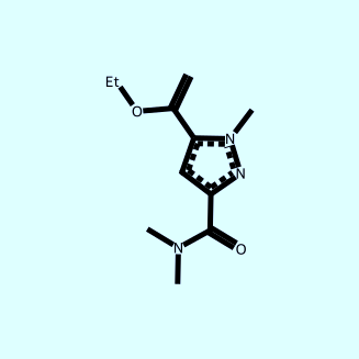 C=C(OCC)c1cc(C(=O)N(C)C)nn1C